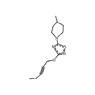 CCC#CCOc1nsc(N2CCC(C)CC2)n1